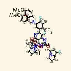 COc1ccc(CN(Cc2ccc(OC)cc2)c2cc(-c3nc4c5c(nc(OCC6CC(F)C7CCCN67)nc5c3F)N3C[C@H]5CC[C@@H]([C@H]3[C@H](C)O4)N5C(=O)OC(C)(C)C)c(C(F)(F)F)c(C)c2F)cc1